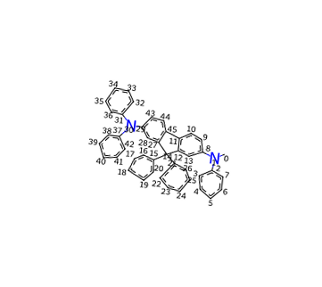 CN(c1ccccc1)c1ccc2c(c1)C(c1ccccc1)(c1ccccc1)c1cc(N(c3ccccc3)c3ccccc3)ccc1-2